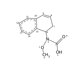 CON(C(=O)O)C1CC=Cc2ccccc21